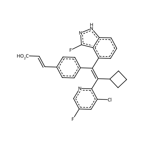 O=C(O)/C=C/c1ccc(/C(=C(\c2ncc(F)cc2Cl)C2CCC2)c2cccc3[nH]nc(F)c23)cc1